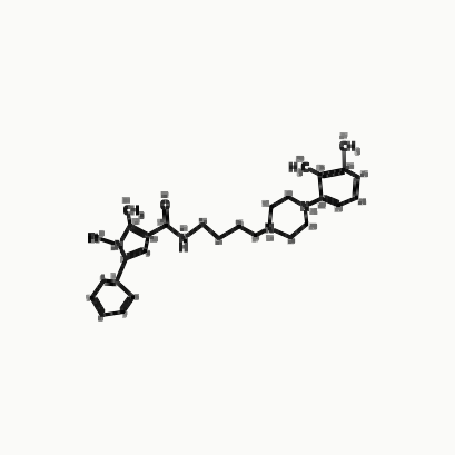 CCn1c(-c2ccccc2)cc(C(=O)NCCCCN2CCN(c3cccc(C)c3C)CC2)c1C